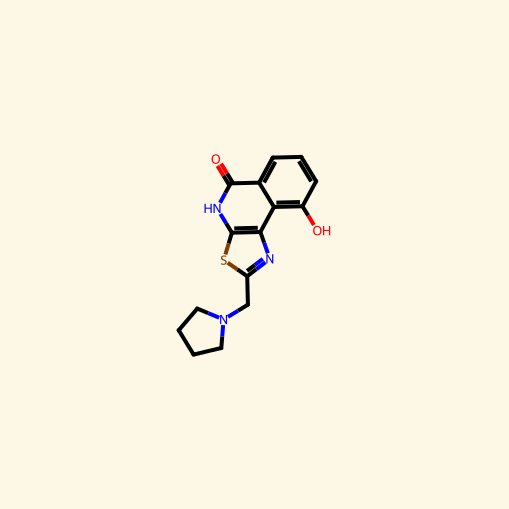 O=c1[nH]c2sc(CN3CCCC3)nc2c2c(O)cccc12